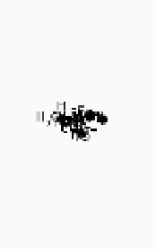 Cc1nc2c(C(=O)O)cc(-c3c(F)c(F)c(-c4ccc(CN5CCCC5)cc4)c(F)c3F)cc2[nH]1.O=C(O)C(F)(F)F